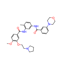 COc1ccc(C(=O)Nc2cc(NC(=O)c3cccc(N4CCOCC4)c3)ccc2C)cc1OCCN1CCCC1